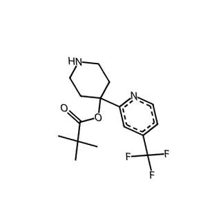 CC(C)(C)C(=O)OC1(c2cc(C(F)(F)F)ccn2)CCNCC1